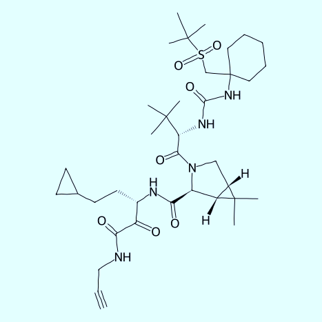 C#CCNC(=O)C(=O)[C@H](CCC1CC1)NC(=O)[C@@H]1[C@@H]2[C@H](CN1C(=O)[C@@H](NC(=O)NC1(CS(=O)(=O)C(C)(C)C)CCCCC1)C(C)(C)C)C2(C)C